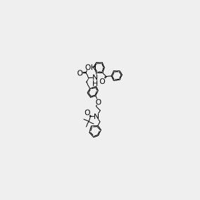 CC(C)(C)C(=O)N(CCOc1ccc(C[C@H](Nc2ccccc2C(=O)c2ccccc2)C(=O)O)cc1)Cc1ccccc1